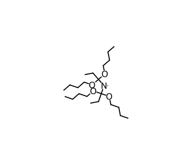 CCCCOC(CC)([N]C(CC)(OCCCC)OCCCC)OCCCC